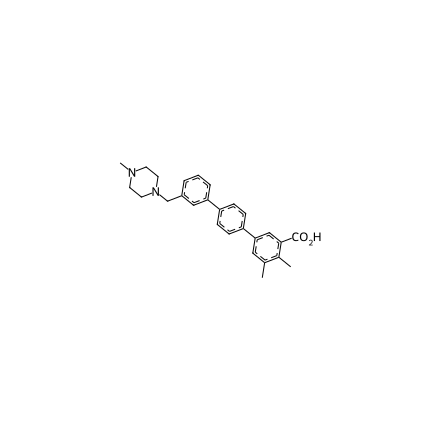 Cc1cc(-c2ccc(-c3cccc(CN4CCN(C)CC4)c3)cc2)cc(C(=O)O)c1C